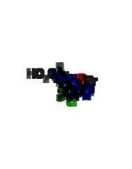 CC(C)c1ncnc(C(C)C)c1-n1c(=O)nc(N2CC(C)N(C(=O)O)CC2C)c2cc(F)c(Cl)nc21